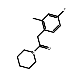 Cc1cc(F)ccc1CC(=O)N1CCCCC1